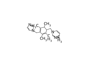 C/C=C\N(C=N)CC1C(C)=C(C)C(Cn2ccnc2)=C(C)C1C